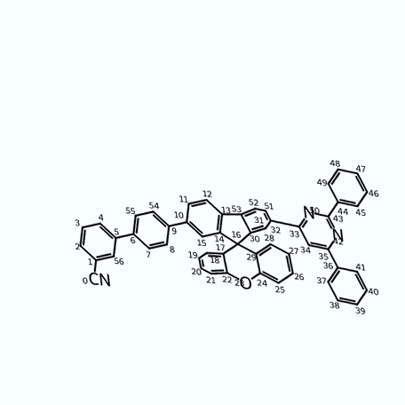 N#Cc1cccc(-c2ccc(-c3ccc4c(c3)C3(c5ccccc5Oc5ccccc53)c3cc(-c5cc(-c6ccccc6)nc(-c6ccccc6)n5)ccc3-4)cc2)c1